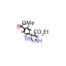 CCOC(=O)C1=CNSNC1c1ccc(C(=O)OC)cc1